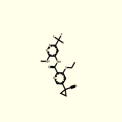 CCSc1cc(C2(C#N)CC2)cnc1C(=O)Nc1cc(C(F)(F)F)nnc1NC